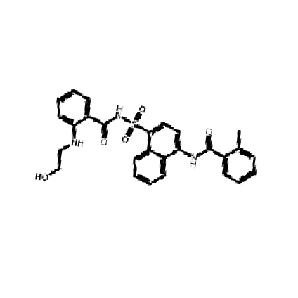 Cc1ccccc1C(=O)Nc1ccc(S(=O)(=O)NC(=O)c2ccccc2NCCO)c2ccccc12